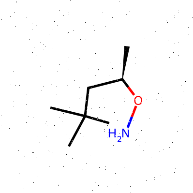 C[C@H](CC(C)(C)C)ON